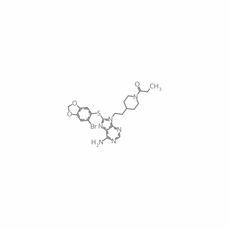 CCC(=O)N1CCC(CCn2c(Sc3cc4c(cc3Br)OCO4)nc3c(N)ncnc32)CC1